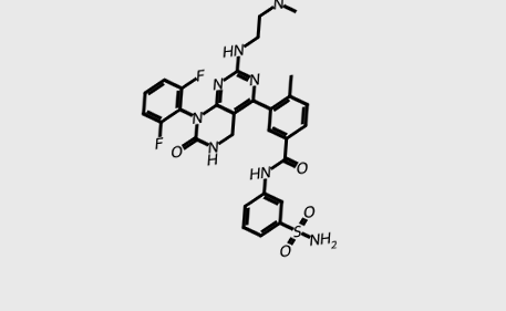 Cc1ccc(C(=O)Nc2cccc(S(N)(=O)=O)c2)cc1-c1nc(NCCN(C)C)nc2c1CNC(=O)N2c1c(F)cccc1F